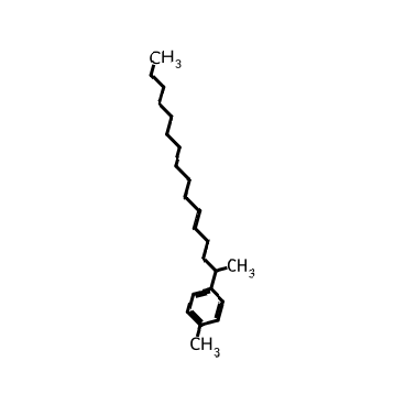 CCCCCCCCCCCCCCC(C)c1ccc(C)cc1